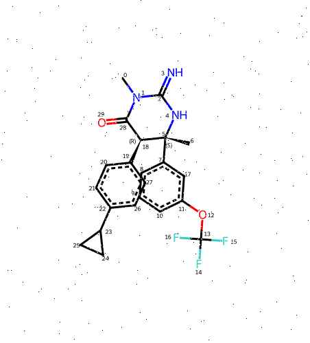 CN1C(=N)N[C@](C)(c2cccc(OC(F)(F)F)c2)[C@@H](c2ccc(C3CC3)cc2)C1=O